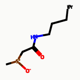 CC(C)CCCNC(=O)C[S+](C)[O-]